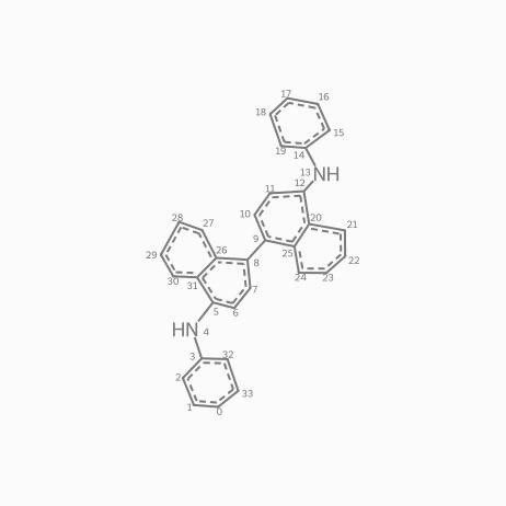 c1ccc(Nc2ccc(-c3ccc(Nc4ccccc4)c4ccccc34)c3ccccc23)cc1